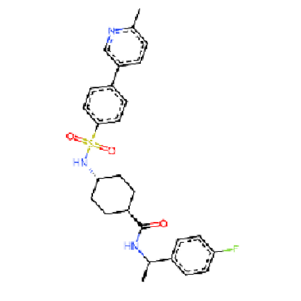 Cc1ccc(-c2ccc(S(=O)(=O)N[C@H]3CC[C@H](C(=O)N[C@H](C)c4ccc(F)cc4)CC3)cc2)cn1